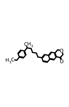 CCc1ccc(C(C)CCCCc2ccc3cc4c(cc3c2)COCC4=O)cc1